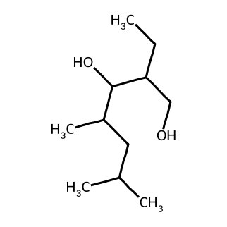 CCC(CO)C(O)C(C)CC(C)C